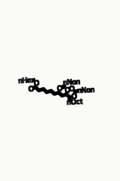 CCCCCCCCCC(=O)OC(CCCCCCCC)C(CCCCCCCC(=O)OCCCCCC)OC(=O)CCCCCCCCC